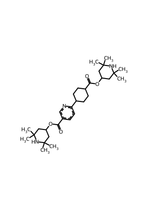 CC1(C)CC(OC(=O)c2ccc(C3CCC(C(=O)OC4CC(C)(C)NC(C)(C)C4)CC3)nc2)CC(C)(C)N1